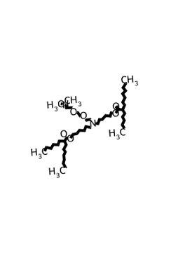 CCCCCCCCC(CCCCCC)C(=O)OCCCCCCN(CCCCCCOC(=O)C(CCCCCC)CCCCCCCC)CCOCCOCCN(C)C